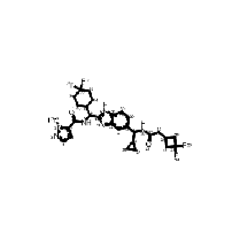 CC(C)n1nccc1C(=O)NC(c1nc2cc(C(NC(=O)CC3CC(F)(F)C3)C3CC3)ccc2[nH]1)C1CCC(F)(F)CC1